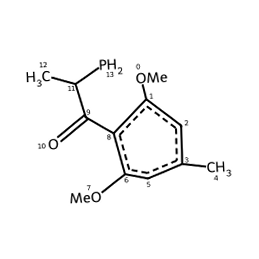 COc1cc(C)cc(OC)c1C(=O)C(C)P